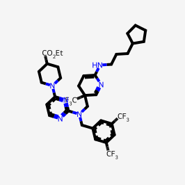 CCOC(=O)C1CCN(c2ccnc(N(Cc3cc(C(F)(F)F)cc(C(F)(F)F)c3)CC3(C(F)(F)F)C=NC(NCCCC4CCCC4)=CC3)n2)CC1